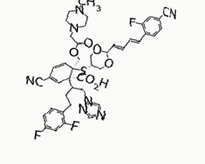 CN1CCN(CC(=O)OC[C@@]2(S[C@H]3CO[C@H](C=CC=Cc4ccc(C#N)cc4F)OC3)C=CC(C#N)=C[C@]2(C(=O)O)C(CCc2ccc(F)cc2F)Cn2cncn2)CC1